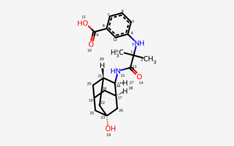 CC(C)(Nc1cccc(C(=O)O)c1)C(=O)N[C@H]1[C@@H]2CC3C[C@H]1C[C@](O)(C3)C2